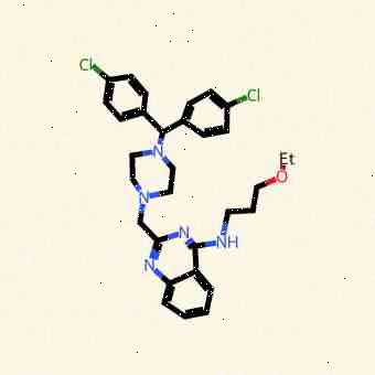 CCOCCCNc1nc(CN2CCN(C(c3ccc(Cl)cc3)c3ccc(Cl)cc3)CC2)nc2ccccc12